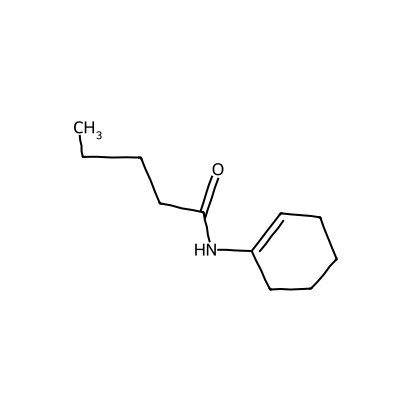 CCCCC(=O)NC1=CCCCC1